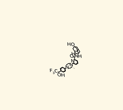 C[C@@H]1CN(c2ccc(C(O)C(F)(F)F)cc2)CCN1c1cccc(C(=O)N[C@H]2C3CC4CC2C[C@](O)(C4)C3)n1